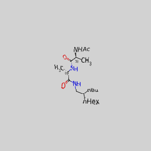 CCCCCCC(CCCC)CNC(=O)[C@H](C)NC(=O)[C@H](C)NC(C)=O